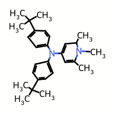 CC1=CC(N(c2ccc(C(C)(C)C)cc2)c2ccc(C(C)(C)C)cc2)=CC(C)N1C